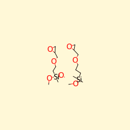 CO[Si](C)(C)CCCOCC1CO1.CO[Si](C)(CCOCC1CO1)OC